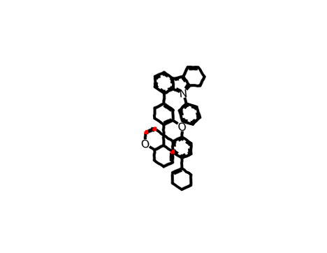 C1=Cc2c(n(-c3ccccc3)c3c(C4=CC5=C(CC4)C4(C6=CCCCC6OC6CCC=CC64)c4cc(C6=CCCCC6)ccc4O5)cccc23)CC1